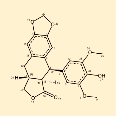 COc1cc([C@@H]2c3cc4c(cc3C[C@H]3COC(=O)[C@@H]32)OCO4)cc(OC)c1O